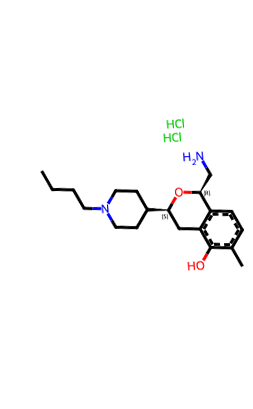 CCCCN1CCC([C@@H]2Cc3c(ccc(C)c3O)[C@H](CN)O2)CC1.Cl.Cl